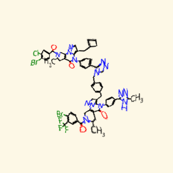 Cc1nnc(-c2ccc(-n3c(=O)c4c(n5ncc(Cc6ccc(Cn7cnnc7-c7ccc(-n8c(=O)c9c(n%10ncc(CC%11CCC%11)c8%10)CN(C(=O)c8ccc(Br)c(Cl)c8)[C@H](C)C9)cc7)cc6)c35)CN(C(=O)c3ccc(Br)c(C(F)(F)F)c3)[C@H](C)C4)cc2)[nH]1